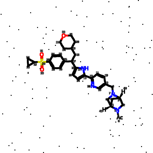 CC(=O)N1C[C@@H]2C[C@H]1CN2Cc1ccc(-c2ccc(C(CC3CCOCC3)c3ccc(S(=O)(=O)C4CC4)cc3)[nH]2)nc1